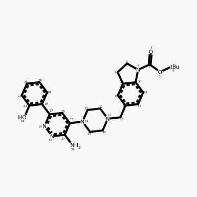 CC(C)(C)OC(=O)N1CCc2cc(CN3CCN(c4cc(-c5ccccc5O)nnc4N)CC3)ccc21